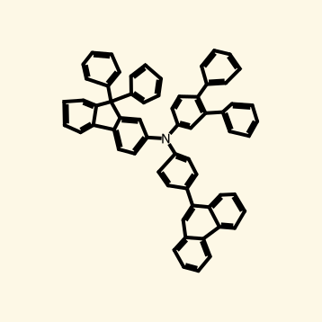 c1ccc(-c2ccc(N(c3ccc(-c4cc5ccccc5c5ccccc45)cc3)c3ccc4c(c3)C(c3ccccc3)(c3ccccc3)c3ccccc3-4)cc2-c2ccccc2)cc1